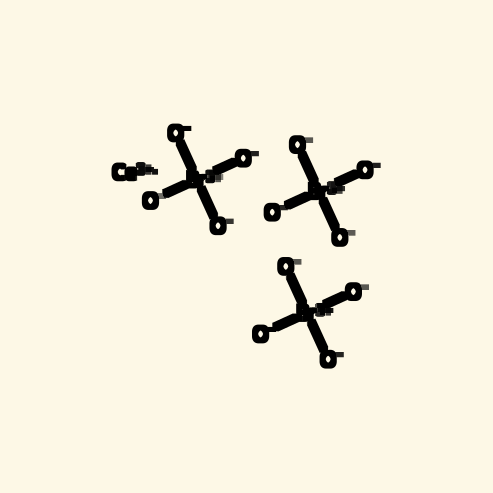 [Ce+3].[O-][Br+3]([O-])([O-])[O-].[O-][Br+3]([O-])([O-])[O-].[O-][Br+3]([O-])([O-])[O-]